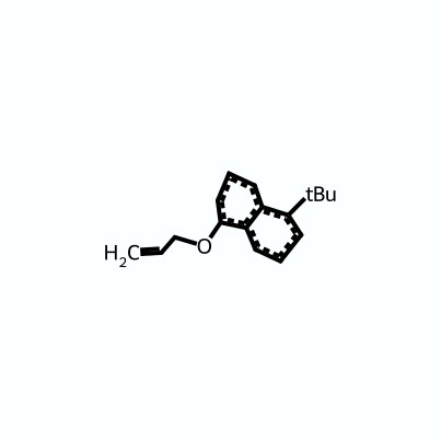 C=CCOc1cccc2c(C(C)(C)C)cccc12